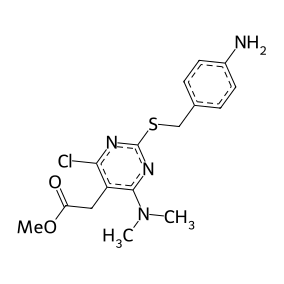 COC(=O)Cc1c(Cl)nc(SCc2ccc(N)cc2)nc1N(C)C